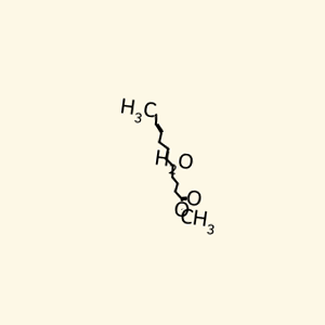 CCC=CCCCCCCCC(=O)OC.O